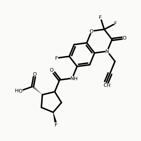 C#CCN1C(=O)C(F)(F)Oc2cc(F)c(NC(=O)C3C[C@@H](F)C[C@@H]3C(=O)O)cc21